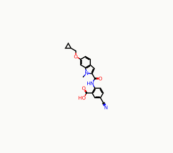 Cn1c(C(=O)Nc2ccc(C#N)cc2C(=O)O)cc2ccc(OCC3CC3)cc21